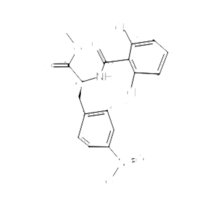 COC(=O)[C@H](Cc1ccc([N+](=O)[O-])cc1)NC(=O)c1c(Cl)cccc1Cl